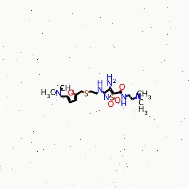 CN(C)CCNC(=O)C1=C(N)C(NCCSCc2ccc(CN(C)C)o2)=NS1(=O)=O